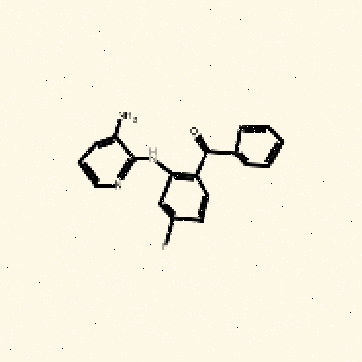 Nc1cccnc1Nc1cc(F)ccc1C(=O)c1ccccc1